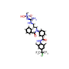 Cc1cc(C(F)(C(F)(F)F)C(F)(F)F)cc(C)c1NC(=O)c1cccc(N(CCCN/C(N)=N/[N+](C)([O-])O)C(=O)c2ccccc2)c1